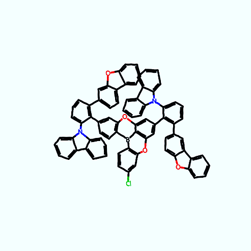 Clc1ccc2c(c1)Oc1cc(-c3c(-c4ccc5oc6ccccc6c5c4)cccc3-n3c4ccccc4c4ccccc43)cc3c1B2c1ccc(-c2c(-c4ccc5c(c4)oc4ccccc45)cccc2-n2c4ccccc4c4ccccc42)cc1O3